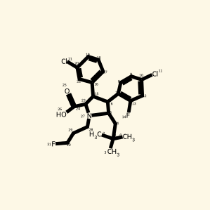 CC(C)(C)CC1C(c2ccc(Cl)cc2F)C(c2cccc(Cl)c2)C(C(=O)O)N1CCCF